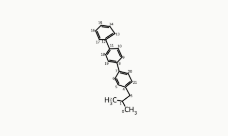 CC(C)Cc1c[c]c(-c2ccc(-c3ccccc3)cc2)cc1